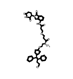 CN(CCOc1ccc(C(=C(CCCl)c2ccccc2)c2ccccc2)cc1)C(=O)CCOCCC(=O)Nc1cccc2c1CN(C1CCC(=O)NC1=O)C2=O